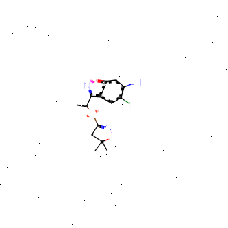 CC(c1noc2cc(N)c(F)cc12)S(=O)(=O)C1=NOC(C)(C)C1